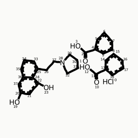 Cl.O=C(O)c1ccccc1.O=C(O)c1ccccc1.Oc1cc(O)c2c(CCN3CCCC3)cccc2c1